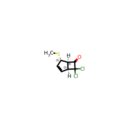 CS[C@H]1C=C[C@H]2[C@@H]1C(=O)C2(Cl)Cl